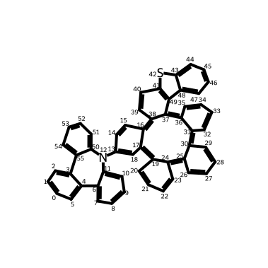 c1ccc2c(c1)-c1ccccc1N(c1ccc3c(c1)c1ccccc1c1ccccc1c1ccccc1c1c3ccc3sc4ccccc4c31)c1ccccc1-2